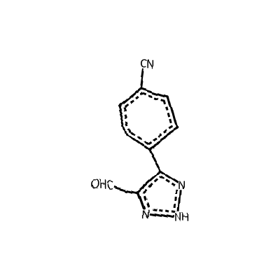 N#Cc1ccc(-c2n[nH]nc2C=O)cc1